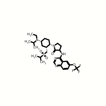 CCN(C(C)C)[C@@H]1CC[C@H](N2CCC(Nc3ncnc4ccc(OC(F)(F)F)cc34)C2=O)[C@H](CS(=O)(=O)C(C)C)C1